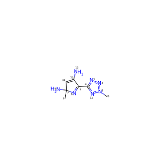 Cn1nnc(C2=NC(C)(N)C=C2N)n1